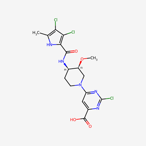 CO[C@H]1CN(c2cc(C(=O)O)nc(Cl)n2)CC[C@H]1NC(=O)c1[nH]c(C)c(Cl)c1Cl